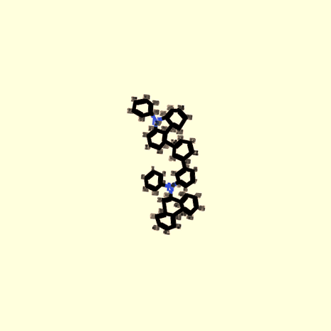 c1ccc(N(c2cccc(-c3cccc(-c4cccc5c4c4ccccc4n5-c4ccccc4)c3)c2)c2cc3ccccc3c3ccccc23)cc1